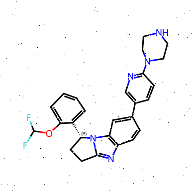 FC(F)Oc1ccccc1[C@H]1CCc2nc3ccc(-c4ccc(N5CCNCC5)nc4)cc3n21